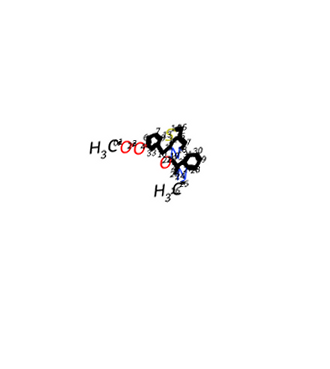 CCOCOc1cccc(CC2C3SC=CC3=CCN2C(=O)c2cn(CC)c3ccccc23)c1